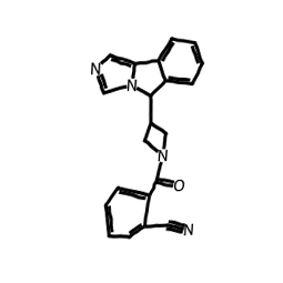 N#Cc1ccccc1C(=O)N1CC(C2c3ccccc3-c3cncn32)C1